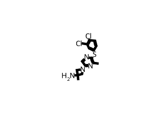 Cc1nc(N2CC(C)(N)C2)cnc1Sc1ccc(Cl)c(Cl)c1